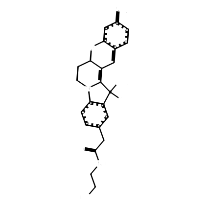 C=c1ccc2c(c1)OC1CCN3C(=C1C=2)C(C)(C)c1cc(CC(=O)NCCC)ccc13